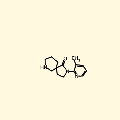 Cc1cccnc1N1CCC2(CCCNC2)C1=O